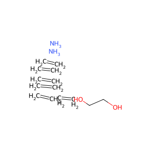 C=C.C=C.C=C.C=C.C=C.C=C.N.N.OCCO